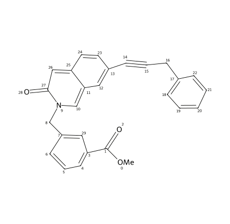 COC(=O)c1cccc(Cn2cc3cc(C#CCc4ccccc4)ccc3cc2=O)c1